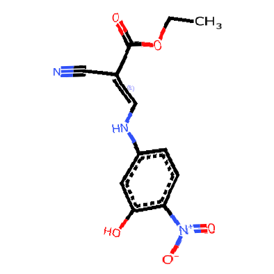 CCOC(=O)/C(C#N)=C/Nc1ccc([N+](=O)[O-])c(O)c1